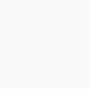 O=C(O)c1ccccc1C(=O)/C=C/c1ccc(F)cc1